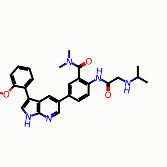 COc1ccccc1-c1c[nH]c2ncc(-c3ccc(NC(=O)CNC(C)C)c(C(=O)N(C)C)c3)cc12